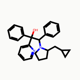 OC(c1ccccc1)(c1ccccn1)C(c1ccccc1)N1CCCC1CC1CC1